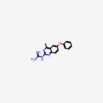 Cc1nc(NC(=N)N)nc2ccc(Oc3ccccc3)cc12